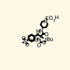 CC(C)(C)OC(=O)N(O)C1(C)C(=O)N(C2CCN(C(=O)O)CC2)N=C1c1ccc(S(C)(=O)=O)cc1